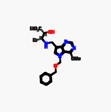 CCOC(=O)[C@H](O)[C@@H](CC)NCc1cn(COCc2ccccc2)c2c(OC)ncnc12